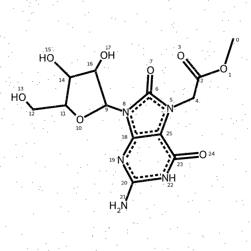 COC(=O)Cn1c(=O)n(C2OC(CO)C(O)C2O)c2nc(N)[nH]c(=O)c21